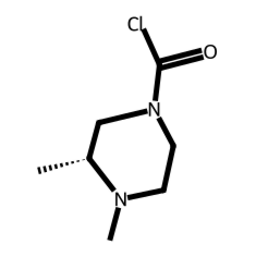 C[C@@H]1CN(C(=O)Cl)CCN1C